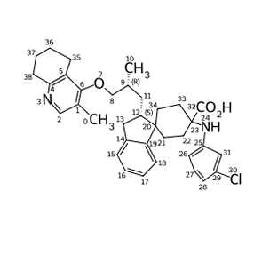 Cc1cnc2c(c1OC[C@H](C)C[C@H]1Cc3ccccc3C13CCC(Nc1cccc(Cl)c1)(C(=O)O)CC3)CCCC2